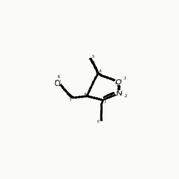 CC1=NOC(C)C1CCl